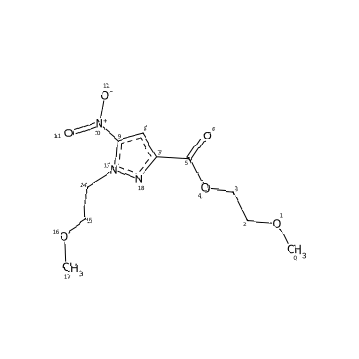 COCCOC(=O)c1cc([N+](=O)[O-])n(CCOC)n1